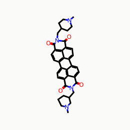 CN1CCC(CN2C(=O)c3ccc4c5ccc6c7c(ccc(c8ccc(c3c48)C2=O)c75)C(=O)N(CC2CCCN(C)C2)C6=O)CC1